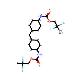 CC(F)(F)COC(=O)NC1CCC(CC2CCC(NC(=O)OCC(F)(F)C(F)(F)F)CC2)CC1